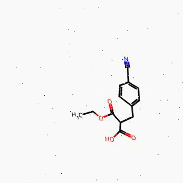 CCOC(=O)C(Cc1ccc(C#N)cc1)C(=O)O